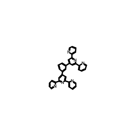 c1ccc(-c2cc(-c3cccc(-c4cc(-c5ccccn5)nc(-c5ccccn5)c4)c3)cc(-c3ccccn3)n2)nc1